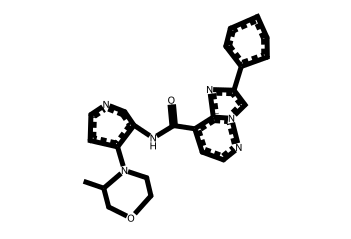 CC1COCCN1c1ccncc1NC(=O)c1ccnn2cc(-c3ccccc3)nc12